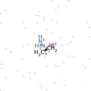 C=C.I.N.N